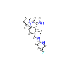 C[C@H]1CCC[N+]1(c1ccc2c(c1)CCN(c1ccc(F)cn1)C2)[C@H]1CCNC1